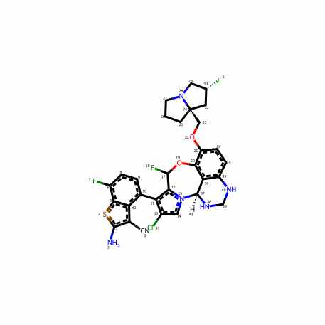 N#Cc1c(N)sc2c(F)ccc(-c3c(Cl)cn4c3C(F)Oc3c(OC[C@@]56CCCN5C[C@H](F)C6)ccc5c3[C@H]4NCN5)c12